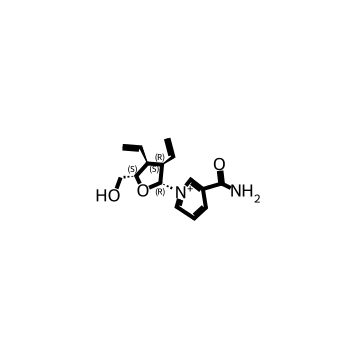 C=C[C@@H]1[C@H](C=C)[C@@H](CO)O[C@H]1[n+]1cccc(C(N)=O)c1